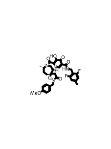 COc1ccc(CN2O[C@@]3(CC[C@H](C)N4C[C@H]3n3cc(C(=O)NCc5c(F)cc(C)cc5F)c(=O)c(O)c3C4=O)CC2=O)cc1